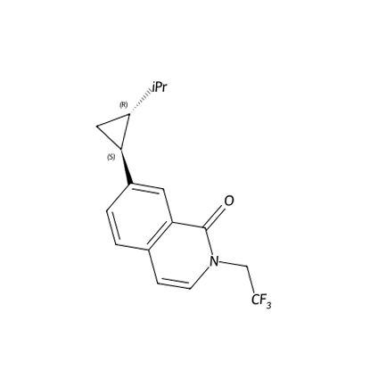 CC(C)[C@H]1C[C@@H]1c1ccc2ccn(CC(F)(F)F)c(=O)c2c1